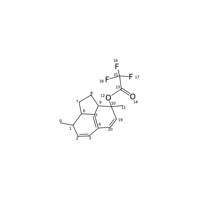 CC1C=CC2=C3C1CCC3C(C)(OC(=O)C(F)(F)F)C=C2